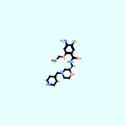 CCOc1cc(N)c(Cl)cc1C(=O)NC[C@@H]1CN(CC2CCNCC2)CCO1